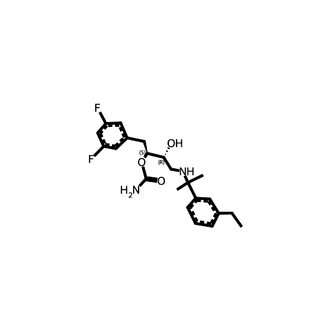 CCc1cccc(C(C)(C)NC[C@@H](O)[C@H](Cc2cc(F)cc(F)c2)OC(N)=O)c1